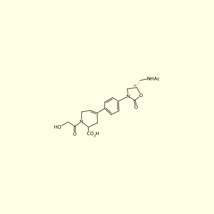 CC(=O)NC[C@H]1CN(c2ccc(C3=CCN(C(=O)CO)C(C(=O)O)C3)cc2)C(=O)O1